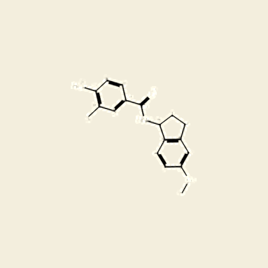 COc1ccc2c(c1)CCC2NC(=O)c1ccc(O)c(C)c1